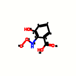 [O]ONc1c(O)cccc1C(=O)O